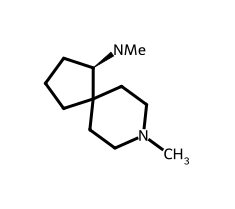 CN[C@@H]1CCCC12CCN(C)CC2